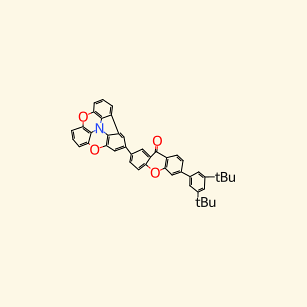 CC(C)(C)c1cc(-c2ccc3c(=O)c4cc(-c5cc6c7c(c5)c5cccc8c5n7-c5c(cccc5O6)O8)ccc4oc3c2)cc(C(C)(C)C)c1